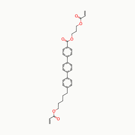 C=CC(=O)OCCCCCc1ccc(-c2ccc(-c3ccc(C(=O)OCCCOC(=O)C=C)cc3)cc2)cc1